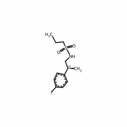 CCCS(=O)(=O)NC[C@@H](C)c1ccc(I)cc1